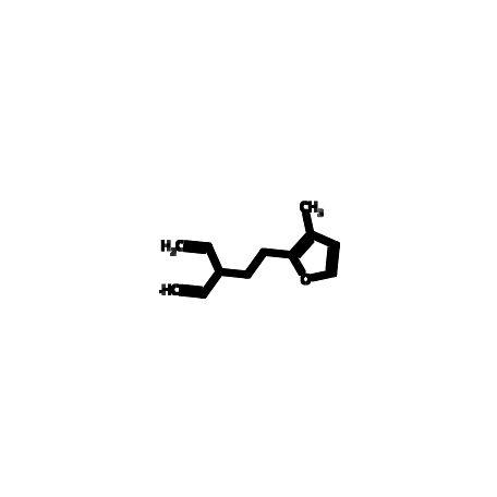 [CH]=CC(C=C)CCc1occc1C